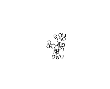 COc1cc([C@@H]2c3cc4c(cc3[C@@H](N(C)C3=CC(=O)N(C)C3=O)[C@H]3COC(=O)[C@H]23)OCO4)cc(OC)c1O